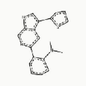 CN(C)c1ccccc1-c1cn2c(-c3cccs3)cnc2cn1